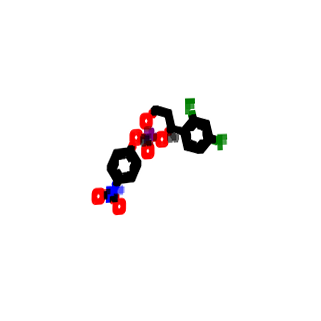 O=[N+]([O-])c1ccc(O[P@]2(=O)OCC[C@@H](c3ccc(F)cc3F)O2)cc1